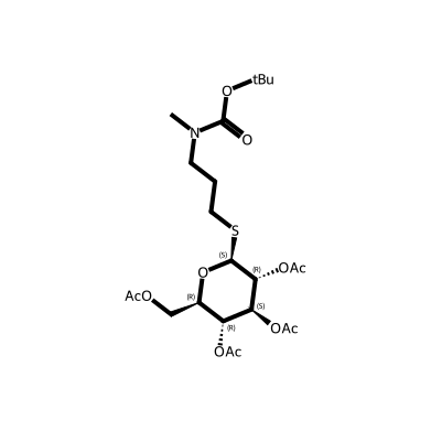 CC(=O)OC[C@H]1O[C@@H](SCCCN(C)C(=O)OC(C)(C)C)[C@H](OC(C)=O)[C@@H](OC(C)=O)[C@@H]1OC(C)=O